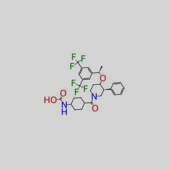 C[C@@H](O[C@@H]1CCN(C(=O)C2CCC(NC(=O)O)CC2)C[C@@H]1c1ccccc1)c1cc(C(F)(F)F)cc(C(F)(F)F)c1